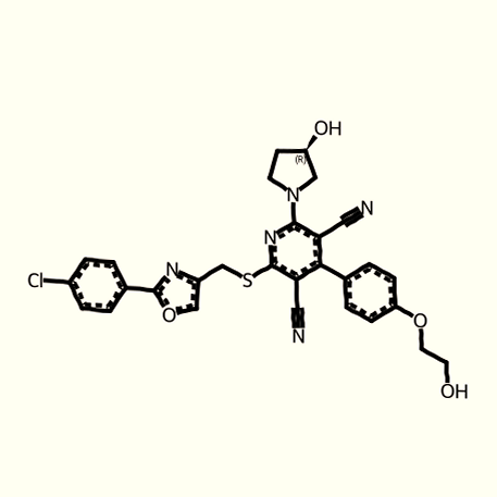 N#Cc1c(SCc2coc(-c3ccc(Cl)cc3)n2)nc(N2CC[C@@H](O)C2)c(C#N)c1-c1ccc(OCCO)cc1